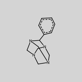 c1ccc(C2N3CN4CN(C3)CN2C4)cc1